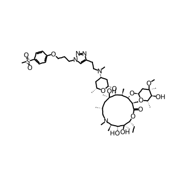 CC[C@H]1OC(=O)[C@H](C)[C@@H](O[C@H]2C[C@@](C)(OC)[C@@H](O)[C@H](C)O2)[C@H](C)[C@@H](O[C@H]2C[C@@H](N(C)CCc3cn(CCCOc4ccc(S(C)(=O)=O)cc4)nn3)C[C@@H](C)O2)[C@](C)(O)C[C@@H](C)CN(C)[C@H](C)[C@@H](O)[C@]1(C)O